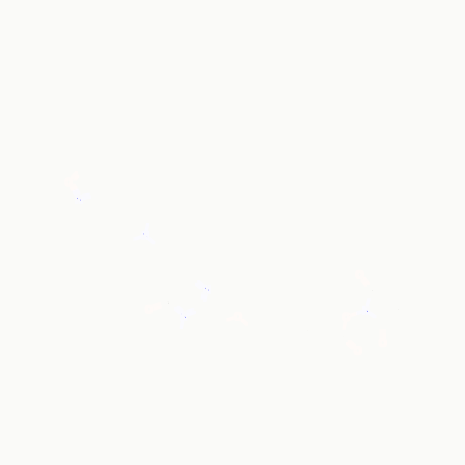 Cc1nc2n(c(=O)c1CCN1CCC(c3noc4cc(F)ccc34)CC1)CCCC2OC/C=C/CCC(=O)ON1C(=O)CCC1=O